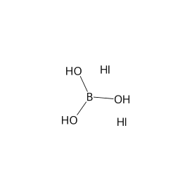 I.I.OB(O)O